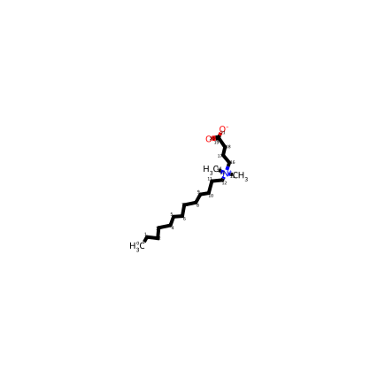 CCCCCCCCCCCCC[N+](C)(C)CCCC(=O)[O-]